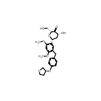 COc1cc(OC)c([C@H]2C[C@@H](O)C(=O)[C@@H](CO)O2)cc1Cc1ccc(O[C@H]2CCOC2)cc1